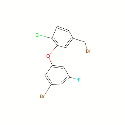 Fc1cc(Br)cc(Oc2cc(CBr)ccc2Cl)c1